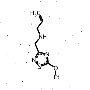 C=CCNCc1nsc(OCC)n1